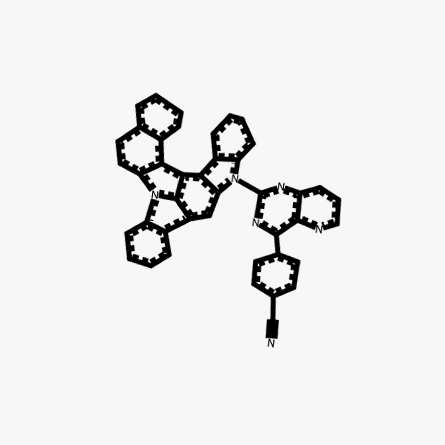 N#Cc1ccc(-c2nc(-n3c4ccccc4c4c5c6c7ccccc7ccc6n6c7ccccc7c(cc43)c56)nc3cccnc23)cc1